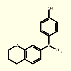 Cc1ccc(N(C)c2ccc3c(c2)OCCC3)cc1